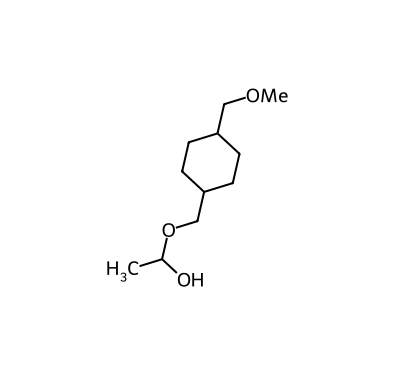 COCC1CCC(COC(C)O)CC1